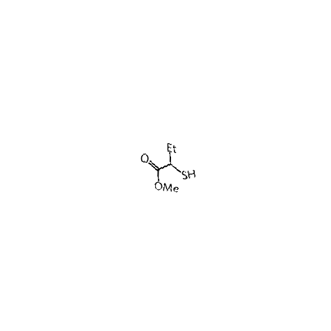 CCC(S)C(=O)OC